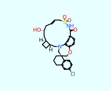 O=C1NS(=O)(=O)C/C=C/C[C@@H](O)C[C@@H]2CC[C@H]2CN2C[C@@]3(CCCc4cc(Cl)ccc43)COc3ccc1cc32